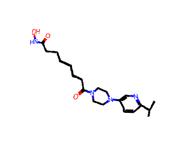 CC(C)c1ccc(N2CCN(C(=O)CCCCCCC(=O)NO)CC2)cn1